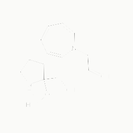 C=CCN1C=CC=CC=C1.COC1(OC)CCC[SiH2]1